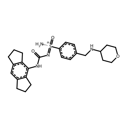 N[S@@](=O)(=NC(=O)Nc1c2c(cc3c1CCC3)CCC2)c1ccc(CNC2CCOCC2)cc1